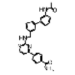 CC(=O)Nc1cccc(-c2cccc(CNc3nccc(-c4ccc(C(N)=O)cc4)n3)c2)c1